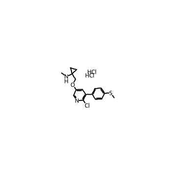 CNC1(COc2cnc(Cl)c(-c3ccc(SC)cc3)c2)CC1.Cl.Cl